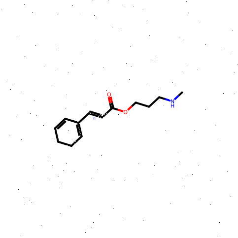 CNCCCOC(=O)/C=C/C1=CCCC=C1